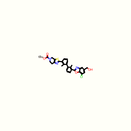 Cc1c(-c2nc3cc(CO)cc(Cl)c3o2)cccc1-c1cccc(-c2nc3c(s2)CN(C(=O)OC(C)(C)C)CC3)c1C